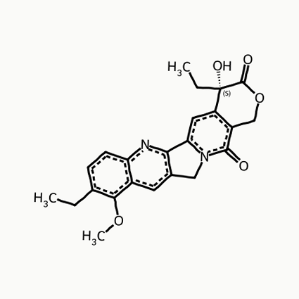 CCc1ccc2nc3c(cc2c1OC)Cn1c-3cc2c(c1=O)COC(=O)[C@]2(O)CC